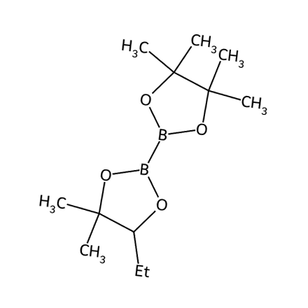 CCC1OB(B2OC(C)(C)C(C)(C)O2)OC1(C)C